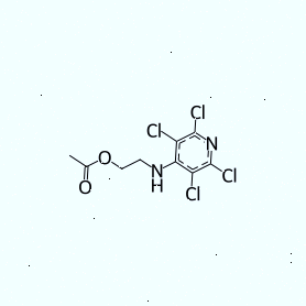 CC(=O)OCCNc1c(Cl)c(Cl)nc(Cl)c1Cl